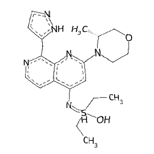 CC[SH](O)(CC)=Nc1cc(N2CCOC[C@H]2C)nc2c(-c3ccn[nH]3)nccc12